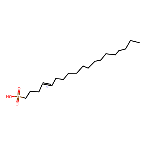 CCCCCCCCCCCCCC/C=C/CCCS(=O)(=O)O